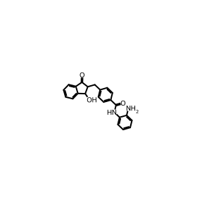 Nc1ccccc1NC(=O)c1ccc(CC2C(=O)c3ccccc3C2O)cc1